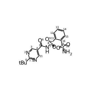 CC(C)(C)c1ncc(C(=O)NS(=O)(=O)c2ccccc2S(N)(=O)=O)cn1